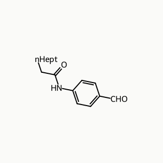 CCCCCCCCC(=O)Nc1ccc(C=O)cc1